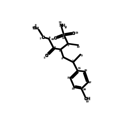 CC(CC(C(=O)COC(C)(C)C)C(C)S(N)(=O)=O)c1ccc(O)cc1